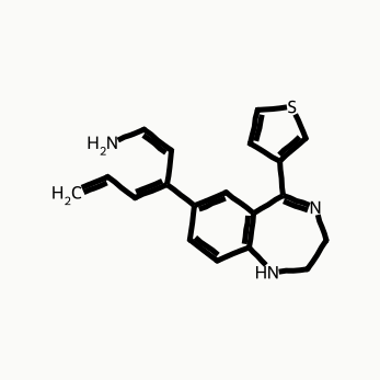 C=C/C=C(\C=C/N)c1ccc2c(c1)C(c1ccsc1)=NCCN2